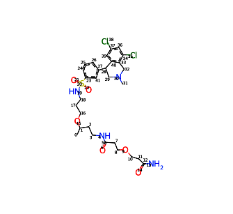 CC(CCNC(=O)CCOCCC(N)=O)OCCCNS(=O)(=O)c1cccc(C2CN(C)Cc3c(Cl)cc(Cl)cc32)c1